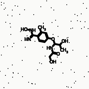 Cc1cc(OC(NC(=O)CO)C(C)O)ccc1C(=N)NO